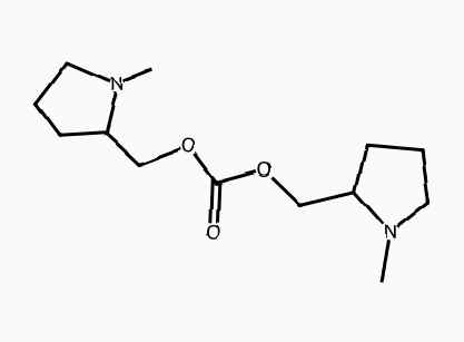 CN1CCCC1COC(=O)OCC1CCCN1C